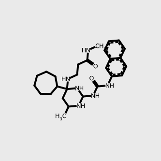 CNC(=O)CCNC1(C2CCCCCC2)CC(C)NC(NC(=O)Nc2ccc3ccccc3c2)N1